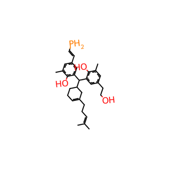 CC(C)=CCCC1=CCCC(C(c2cc(C=CP)cc(C)c2O)c2cc(CCO)cc(C)c2O)C1